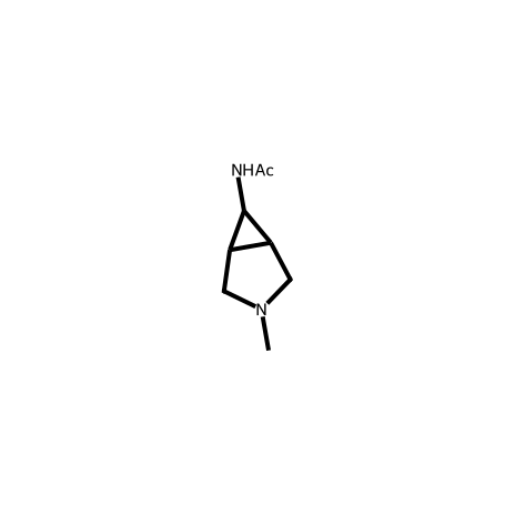 CC(=O)NC1C2CN(C)CC21